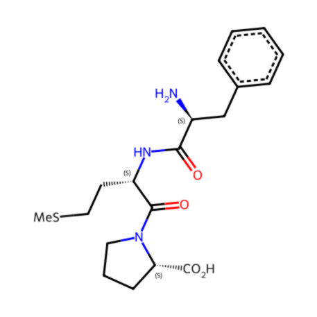 CSCC[C@H](NC(=O)[C@@H](N)Cc1ccccc1)C(=O)N1CCC[C@H]1C(=O)O